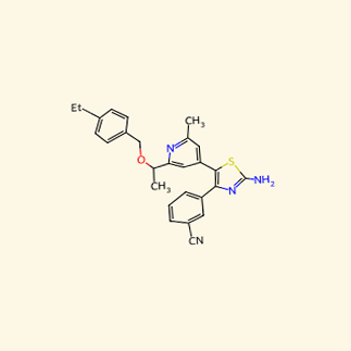 CCc1ccc(COC(C)c2cc(-c3sc(N)nc3-c3cccc(C#N)c3)cc(C)n2)cc1